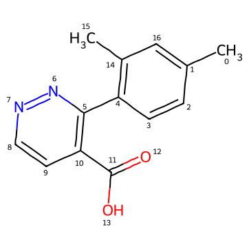 Cc1ccc(-c2nnccc2C(=O)O)c(C)c1